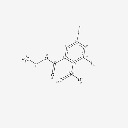 CCOC(=O)c1cc(I)cc(I)c1[N+](=O)[O-]